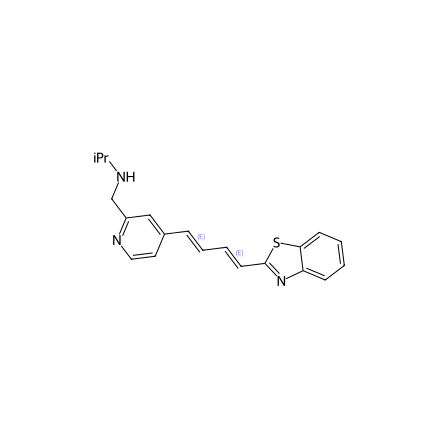 CC(C)NCc1cc(/C=C/C=C/c2nc3ccccc3s2)ccn1